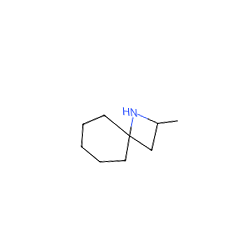 CC1CC2(CCCCC2)N1